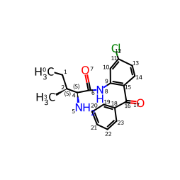 CC[C@H](C)[C@H](N)C(=O)Nc1cc(Cl)ccc1C(=O)c1ccccc1